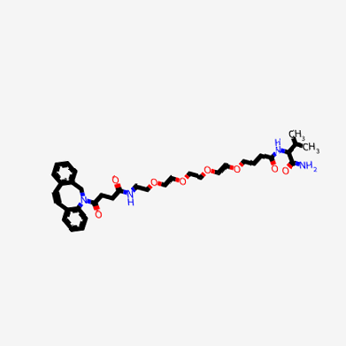 CC(C)C(NC(=O)CCCOCCOCCOCCOCCNC(=O)CCC(=O)N1Cc2ccccc2C#Cc2ccccc21)C(N)=O